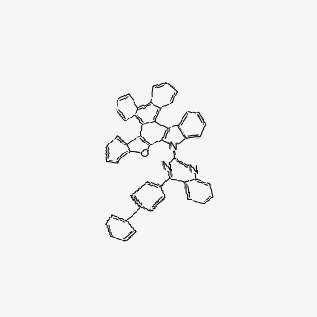 c1ccc(-c2ccc(-c3nc(-n4c5ccccc5c5c6c7ccccc7c7ccccc7c6c6c7ccccc7oc6c54)nc4ccccc34)cc2)cc1